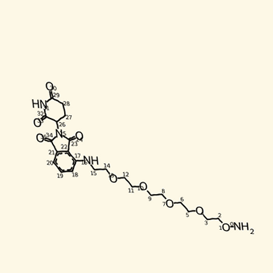 NOCCOCCOCCOCCOCCNc1cccc2c1C(=O)N(C1CCC(=O)NC1=O)C2=O